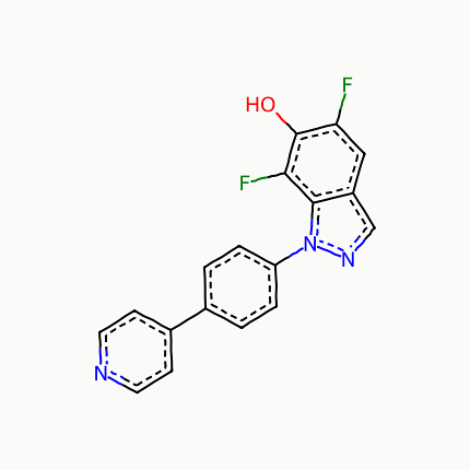 Oc1c(F)cc2cnn(-c3ccc(-c4ccncc4)cc3)c2c1F